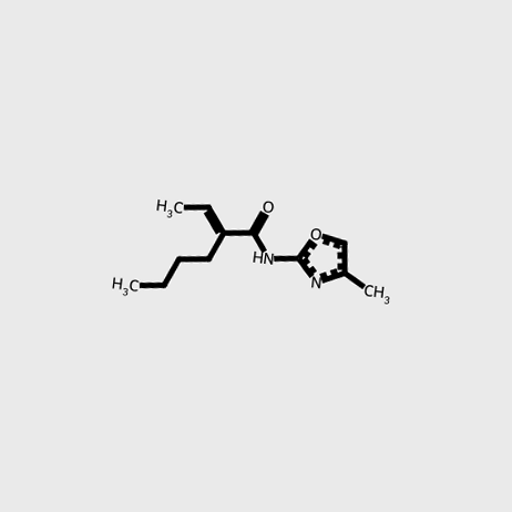 C/C=C(\CCCC)C(=O)Nc1nc(C)co1